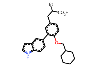 CCC(Cc1ccc(OCC2CCCCC2)c(-c2ccc3[nH]ccc3c2)c1)C(=O)O